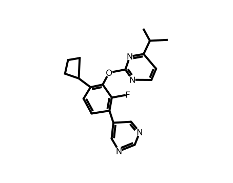 CC(C)c1ccnc(Oc2c(C3CCC3)ccc(-c3cncnc3)c2F)n1